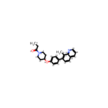 CCC(=O)N1CCC(Oc2ccc(-c3ccc4cccnc4c3C)cc2)CC1